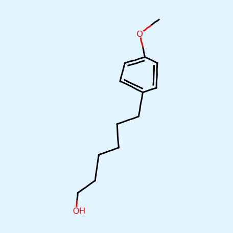 COc1ccc(CCCCCCO)cc1